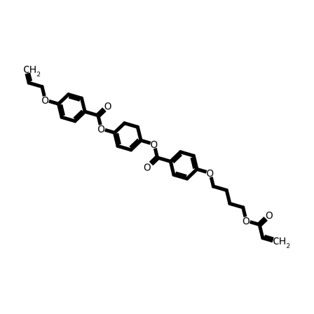 C=CCOc1ccc(C(=O)OC2=CC=C(OC(=O)c3ccc(OCCCCOC(=O)C=C)cc3)CC2)cc1